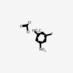 O=C(Cl)Cl.O=C(O)c1cc(F)cc([N+](=O)[O-])c1